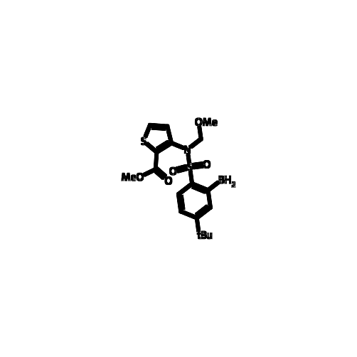 Bc1cc(C(C)(C)C)ccc1S(=O)(=O)N(COC)c1ccsc1C(=O)OC